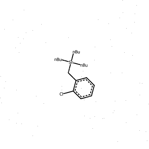 CCC[CH2][Sn]([CH2]CCC)([CH2]CCC)[CH2]c1ccccc1Cl